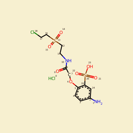 Cl.Nc1ccc(OCC(=O)NCCS(=O)(=O)CCCl)c(S(=O)(=O)O)c1